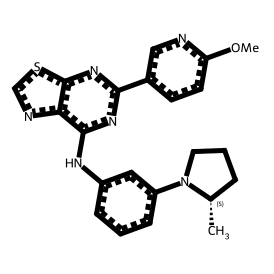 COc1ccc(-c2nc(Nc3cccc(N4CCC[C@@H]4C)c3)c3ncsc3n2)cn1